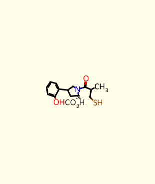 CC(CS)C(=O)N1CC(c2ccccc2O)C[C@H]1C(=O)O